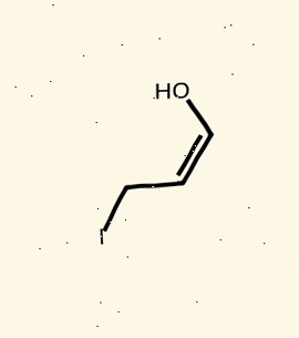 O/C=C\CI